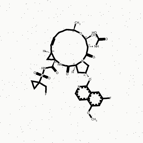 COc1cc(F)cc2c(O[C@@H]3C[C@H]4C(=O)N[C@]5(C(=O)NS(=O)(=O)C6(CF)CC6)C[C@H]5C=CCC[C@@H](C)O[C@@H](C)[C@H](NC(=O)O)C(=O)N4C3)nccc12